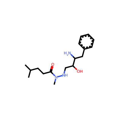 CC(C)CCC(=O)N(C)NCC(O)C(N)Cc1ccccc1